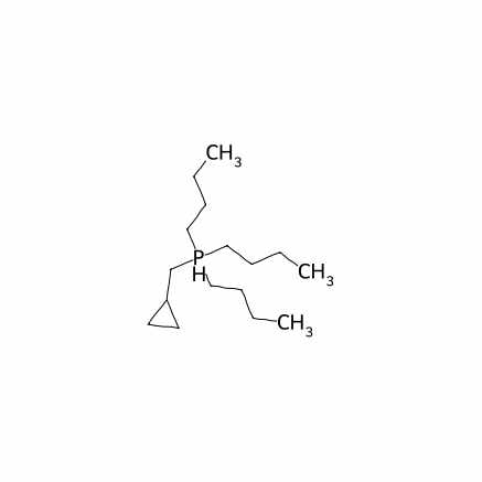 CCCC[PH](CCCC)(CCCC)CC1CC1